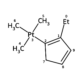 CCC1=[C]([Pt]([CH3])([CH3])[CH3])CC=C1